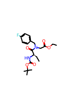 CCOC(=O)CN(Cc1ccc(F)cc1)C(=O)[C@@H](CC)NC(=O)OC(C)(C)C